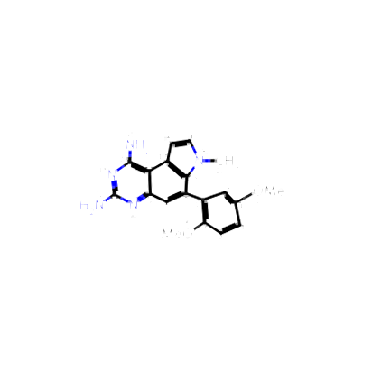 COc1ccc(OC)c(-c2cc3nc(N)nc(N)c3c3ccn(C)c23)c1